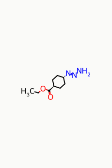 CCOC(=O)[C@H]1CC[C@H](N=NN)CC1